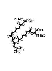 CCCCCCCCC(CCCCCC)OC(=O)CCCCC(=O)OCC(CN(C)C)OC(=O)CCCCC(=O)OC(CCCCCC)CCCCCCCC